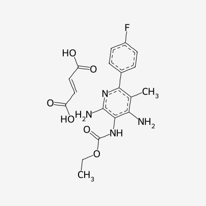 CCOC(=O)Nc1c(N)nc(-c2ccc(F)cc2)c(C)c1N.O=C(O)C=CC(=O)O